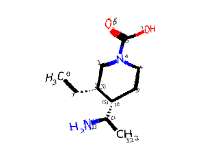 CC[C@@H]1CN(C(=O)O)CC[C@@H]1C(C)N